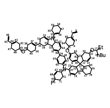 C=CC1=CCC(OC2=CC=C(C3(C4C=CC(OC(CC)CCCC)CC4)C4CC(N(C5=CCC(C6=CC7C8CC(C9=CCC(OC%10CC=C(C=C)CC%10)CC9)CC=C8N(C8=CCCCC8)C7C=C6)C=C5)C5C=CC(F)CC5)C=CC4C4CCCCC43)CC2)CC1